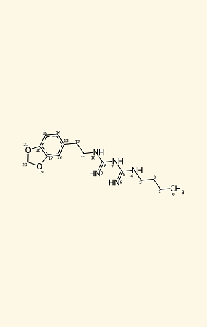 CCCCNC(=N)NC(=N)NCCc1ccc2c(c1)OCO2